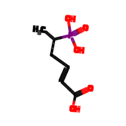 CC(CC=CC(=O)O)P(=O)(O)O